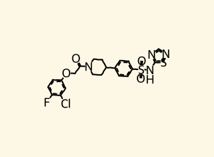 O=C(COc1ccc(F)c(Cl)c1)N1CCC(c2ccc(S(=O)(=O)Nc3ncns3)cc2)CC1